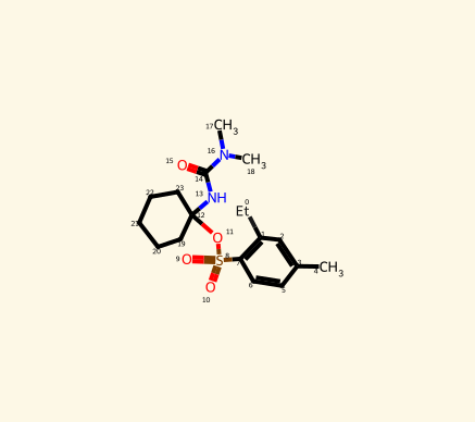 CCc1cc(C)ccc1S(=O)(=O)OC1(NC(=O)N(C)C)CCCCC1